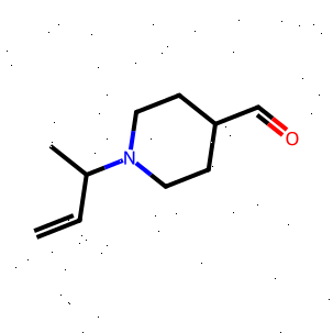 C=CC(C)N1CCC(C=O)CC1